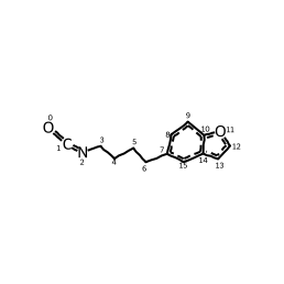 O=C=NCCCCc1ccc2occc2c1